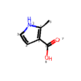 [CH2]c1[nH]ccc1C(=O)O